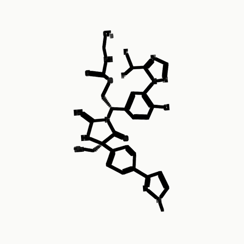 Cn1ccc(-c2ccc([C@@]3(CC(C)(C)C)NC(=N)N([C@H](COC(=O)NCC(F)(F)F)c4ccc(Cl)c(-n5ncnc5C(F)F)c4)C3=O)cc2)n1